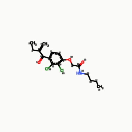 C=C(CC)C(=O)c1ccc(OCC(=O)NCCCC)c(Cl)c1Cl